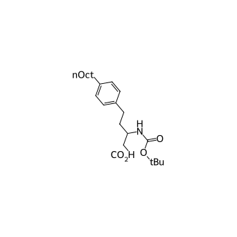 CCCCCCCCc1ccc(CCC(CC(=O)O)NC(=O)OC(C)(C)C)cc1